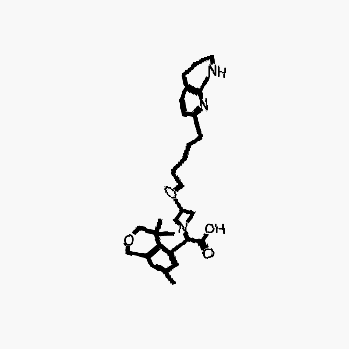 Cc1cc2c(c(C(C(=O)O)N3CC(OCCCCCc4ccc5c(n4)NCCC5)C3)c1)C(C)(C)COC2